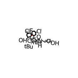 Cc1cc(Cl)c(F)cc1[C@]1(C=O)[C@@H](CC(C)(C)C)N[C@@H](C(=O)NCC[C@H]2CC[C@@H](O)C2)[C@@H]1c1cccc(Cl)c1